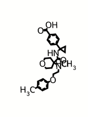 Cc1ccc(OCCN(C)C2(C(=O)NC3(c4ccc(C(=O)O)cc4)CC3)CCOCC2)cc1.Cl